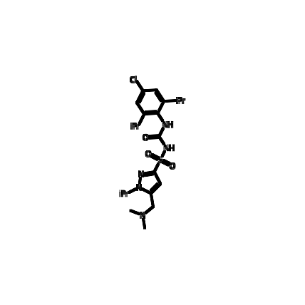 CC(C)c1cc(Cl)cc(C(C)C)c1NC(=O)NS(=O)(=O)c1cc(CN(C)C)n(C(C)C)n1